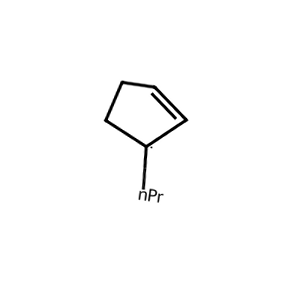 CCC[C]1C=CCC1